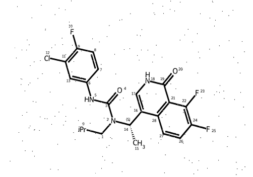 CC(C)CN(C(=O)Nc1ccc(F)c(Cl)c1)[C@@H](C)c1c[nH]c(=O)c2c(F)c(F)ccc12